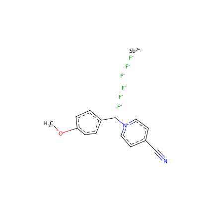 COc1ccc(C[n+]2ccc(C#N)cc2)cc1.[F-].[F-].[F-].[F-].[F-].[F-].[Sb+3]